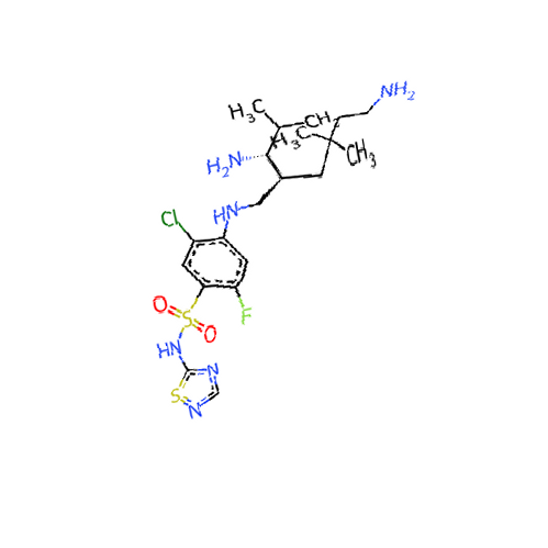 CC(C)[C@@H](N)[C@H](CNc1cc(F)c(S(=O)(=O)Nc2ncns2)cc1Cl)CC(C)(C)CCN